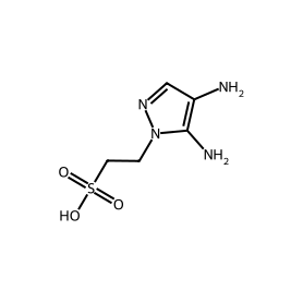 Nc1cnn(CCS(=O)(=O)O)c1N